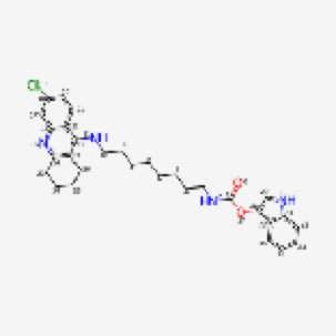 O=C(NCCCCCCCCNc1c2c(nc3cc(Cl)ccc13)CCCC2)Oc1c[nH]c2ccccc12